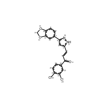 O=C(C=Cc1cc(-c2ccc3c(c2)OCO3)n[nH]1)c1ccc(Cl)c(Cl)c1